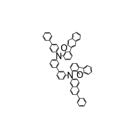 c1ccc(-c2ccc(N(c3cccc(-c4cccc(N(c5ccc6cc(-c7ccccc7)ccc6c5)c5cccc6c5oc5ccccc56)c4)c3)c3cccc4c3oc3cc5ccccc5cc34)cc2)cc1